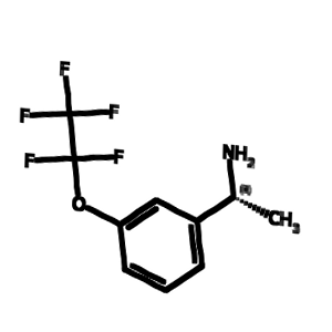 C[C@@H](N)c1cccc(OC(F)(F)C(F)(F)F)c1